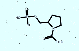 CC(C)COC(=O)N1CCCC1COP(=O)(O)O